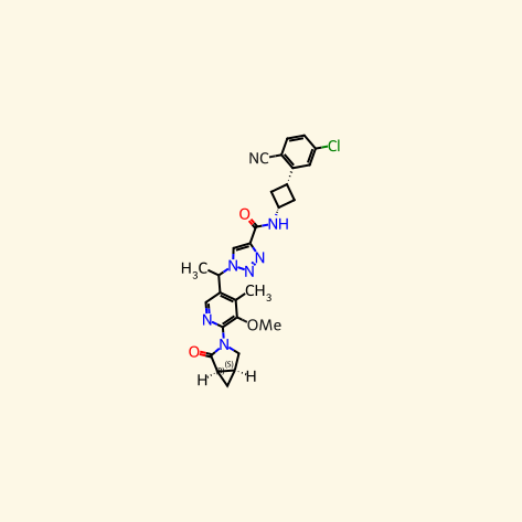 COc1c(N2C[C@H]3C[C@H]3C2=O)ncc(C(C)n2cc(C(=O)N[C@H]3C[C@@H](c4cc(Cl)ccc4C#N)C3)nn2)c1C